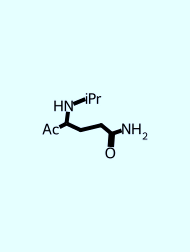 CC(=O)C(CCC(N)=O)NC(C)C